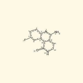 Nc1nc2ccc(F)cc2c2c(=O)[nH]ccc12